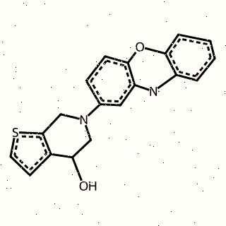 OC1CN(c2ccc3c(c2)[N]c2ccccc2O3)Cc2sccc21